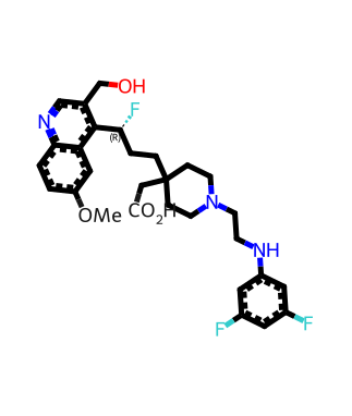 COc1ccc2ncc(CO)c([C@H](F)CCC3(CC(=O)O)CCN(CCNc4cc(F)cc(F)c4)CC3)c2c1